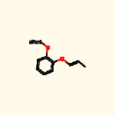 CC=COc1ccccc1OCCCCC